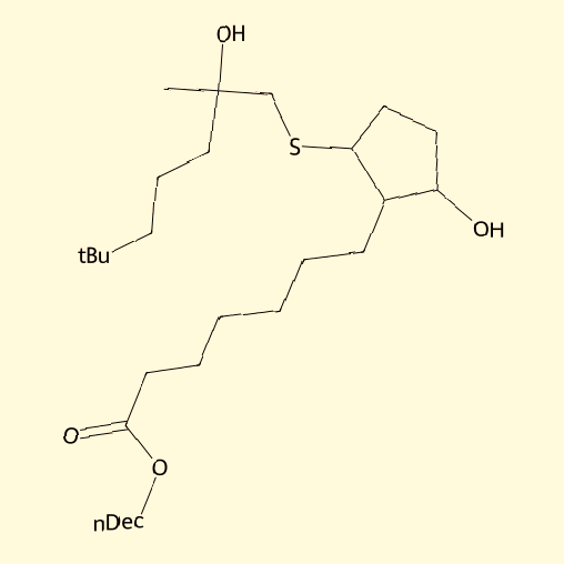 CCCCCCCCCCOC(=O)CCCCCCC1C(O)CCC1SCC(C)(O)CCCC(C)(C)C